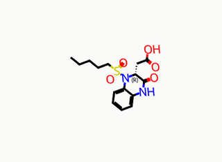 CCCCCS(=O)(=O)N1c2ccccc2NC(=O)[C@H]1CC(=O)O